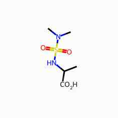 CC(NS(=O)(=O)N(C)C)C(=O)O